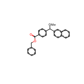 COC(c1ccc(C(=O)OCc2ccccc2)cc1)c1ccc2ccccc2c1